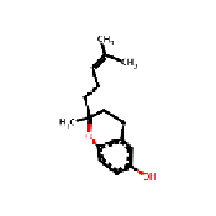 CC(C)=CCCC1(C)CCc2cc(O)ccc2O1